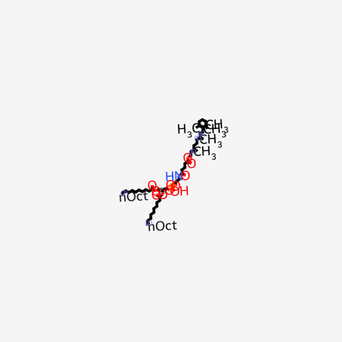 CCCCCCCC/C=C\CCCCCCCC(=O)OC[C@H](COP(=O)(O)OCCNC(=O)CCCC(=O)OC/C=C(\C)CC/C=C(C)/C=C/C1=C(C)CCCC1(C)C)OC(=O)CCCCCCC/C=C\CCCCCCCC